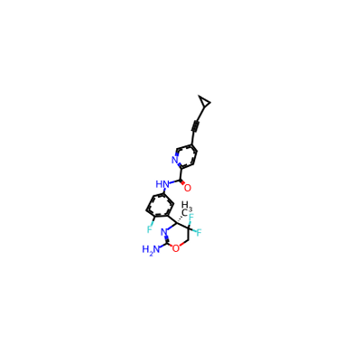 C[C@@]1(c2cc(NC(=O)c3ccc(C#CC4CC4)cn3)ccc2F)N=C(N)OCC1(F)F